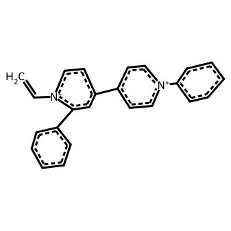 C=C[n+]1ccc(-c2cc[n+](-c3ccccc3)cc2)cc1-c1ccccc1